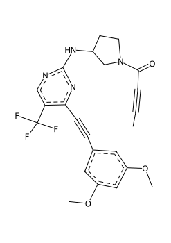 CC#CC(=O)N1CCC(Nc2ncc(C(F)(F)F)c(C#Cc3cc(OC)cc(OC)c3)n2)C1